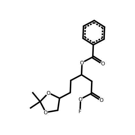 CC1(C)OCC(CCC(CC(=O)OF)OC(=O)c2ccccc2)O1